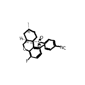 [C-]#[N+]c1ccc(S(=O)(=O)[C@@]23CC[C@@H](C)C[C@@H]2COc2c(F)ccc(F)c23)cc1